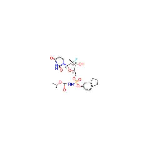 CC(C)OC(=O)CNP(=O)(OC[C@H]1O[C@@H](n2ccc(=O)[nH]c2=O)[C@](C)(F)[C@@H]1O)Oc1ccc2c(c1)CCC2